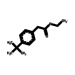 [CH2]COC(=O)Cc1ccc(C(C)(C)C)cc1